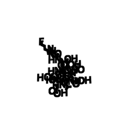 CC(C)[C@H](NC(=O)[C@H](CCC(=O)O)NC(=O)[C@H](CC(=O)O)NC(=O)C1OC(CNC(=O)Cn2cc(CCCF)nn2)C(O)C(O)C1O)C(=O)N[C@@H](CC(=O)O)C(=O)NCC(N)=O